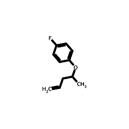 C=CCC(C)Oc1ccc(F)cc1